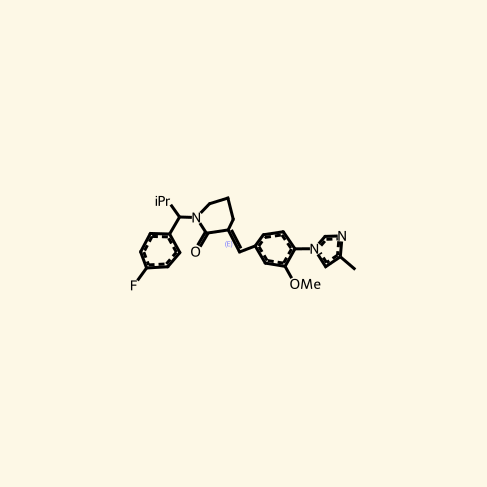 COc1cc(/C=C2\CCCN(C(c3ccc(F)cc3)C(C)C)C2=O)ccc1-n1cnc(C)c1